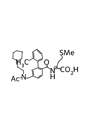 CSCC[C@H](NC(=O)c1ccc(CN(CCC2CCCCC2)C(C)=O)cc1-c1ccccc1C)C(=O)O